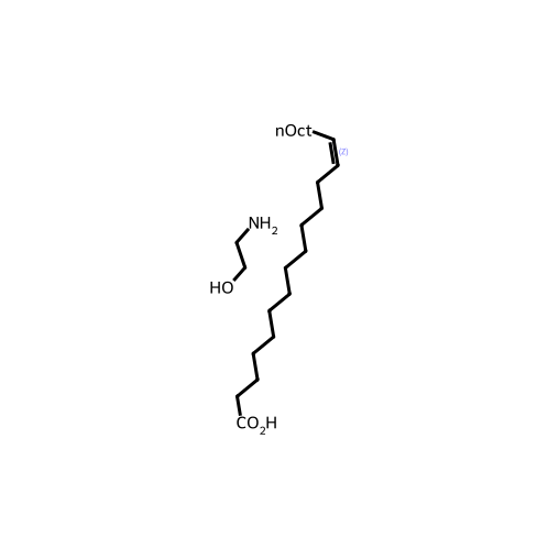 CCCCCCCC/C=C\CCCCCCCCCCCC(=O)O.NCCO